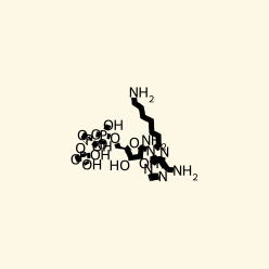 NCCCCCCc1nc2c(N)ncnc2n1[C@]1(N)O[C@H](COP(=O)(O)OP(=O)(O)OP(=O)(O)O)[C@@H](O)[C@H]1O